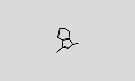 C[C]1C=C(C)C2=C1CCC=C2